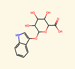 O=C(O)C1OC(Oc2c[nH]c3ccccc23)C(O)C(O)C1O